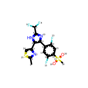 Cc1nc(-c2[nH]c(C(F)F)nc2-c2cc(F)c(S(C)(=O)=O)cc2F)cs1